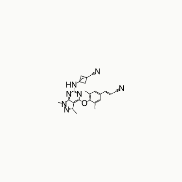 Cc1cc(/C=C/C#N)cc(C)c1Oc1nc(NC23CC(C#N)(C2)C3)nc2c1c(C)nn2C